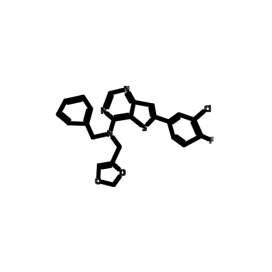 Fc1ccc(-c2cc3ncnc(N(CC4=COCO4)Cc4ccccc4)c3s2)cc1Cl